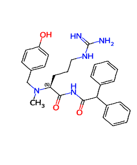 CN(Cc1ccc(O)cc1)[C@@H](CCCNC(=N)N)C(=O)NC(=O)C(c1ccccc1)c1ccccc1